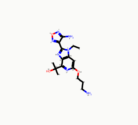 CCn1c(-c2nonc2N)nc2c(C(C)(C)O)nc(OCCCN)cc21